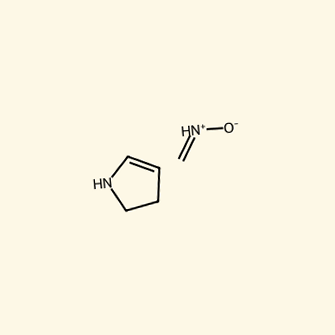 C1=CNCC1.C=[NH+][O-]